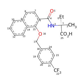 CC[C@@](C)(NC(=O)c1ccc2ccccc2c1OCc1ccc(C(F)(F)F)cc1)C(=O)O